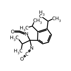 CC(C)c1cccc(C(N=C=O)(N=C=O)C(C)C)c1C(C)C